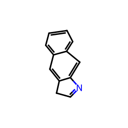 C1=Nc2cc3ccccc3cc2C1